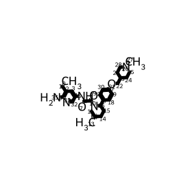 CCc1cc(NC(=O)C(=O)N2C[C@@H](C)CCC2c2ccc(OCC3CCN(C)CC3)cc2)cnc1N